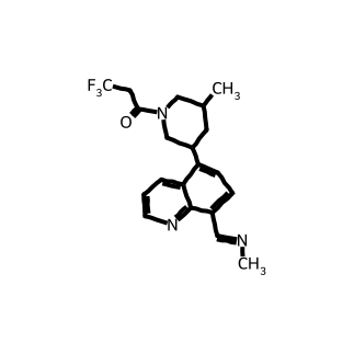 C/N=C/c1ccc(C2CC(C)CN(C(=O)CC(F)(F)F)C2)c2cccnc12